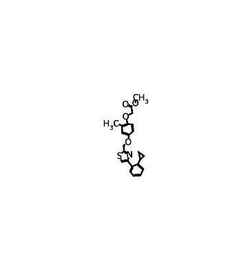 COC(=O)COc1ccc(OCc2nc(-c3ccccc3C3CC3)cs2)cc1C